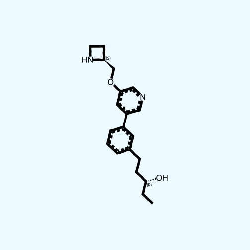 CC[C@@H](O)CCc1cccc(-c2cncc(OC[C@@H]3CCN3)c2)c1